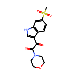 CS(=O)(=O)c1ccc2c(C(=O)C(=O)N3CCOCC3)c[nH]c2c1